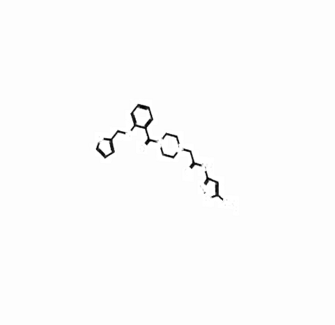 Cc1cc(NC(=O)CN2CCN(C(=O)c3ccccc3SCc3cccs3)CC2)no1